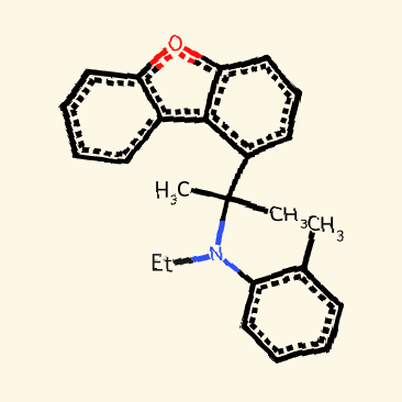 CCN(c1ccccc1C)C(C)(C)c1cccc2oc3ccccc3c12